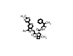 CC(=O)c1nn(CC(=O)N2[C@H](C(=O)NC/C(F)=C(/C)c3ccccc3)C[C@@]3(C)CC[C@@H]23)c2cnc(-c3cnc(C)nc3)cc12